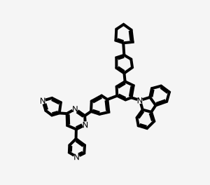 C1=CC(C2=CC=C(c3cc(-c4ccc(-c5nc(-c6ccncc6)cc(-c6ccncc6)n5)cc4)cc(-n4c5ccccc5c5ccccc54)c3)CC2)=CCC1